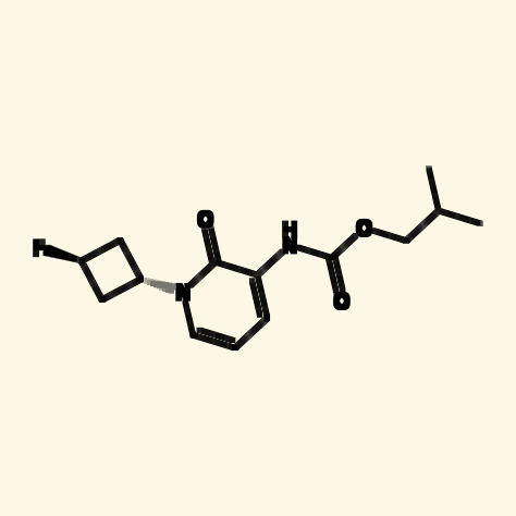 CC(C)COC(=O)Nc1cccn([C@H]2C[C@H](F)C2)c1=O